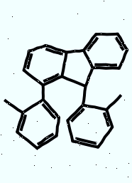 Cc1ccccc1-c1cccc2c1C(c1ccccc1C)c1ccccc1-2